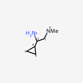 CNCC(N)C1CC1